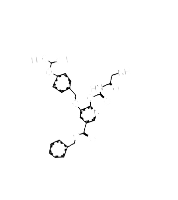 CC(C)Oc1ccc(COc2cc(C(=O)OCc3ccccc3)cnc2OC(=O)NC(=O)CN)cc1